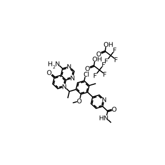 CNC(=O)c1ccc(-c2c(C)c(Cl)cc(C(C)n3ccc(=O)c4c(N)ncnc43)c2OC)cn1.O=C(O)C(F)(F)F.O=C(O)C(F)(F)F